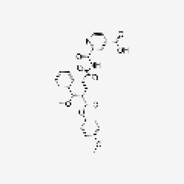 COc1ccc(OC(=O)c2cc(S(=O)(=O)NC(=O)c3cc(C(=O)O)ccn3)c3ccccc3c2OC)cc1